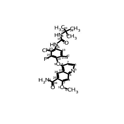 COc1cc2nccc(Oc3c(F)cc(NC(=O)NC(C)(C)C)c(Cl)c3F)c2cc1C(N)=O